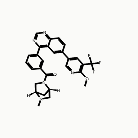 COc1ncc(-c2ccc3ncnc(-c4cccc(C(=O)N5C[C@@H]6C[C@H]5CN6C)c4)c3c2)cc1C(F)(F)F